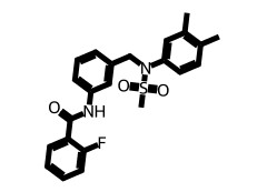 Cc1ccc(N(Cc2cccc(NC(=O)c3ccccc3F)c2)S(C)(=O)=O)cc1C